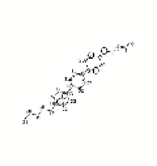 C/C=C/COC1COC(c2ccc(C34CCC(CCCCC)(CC3)CC4)cc2)CO1